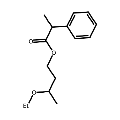 CCOC(C)CCOC(=O)C(C)c1ccccc1